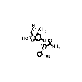 CCc1cc(Nc2nn([C@@H]3CCC[C@H]3C#N)cc2C(N)=O)cc2c1C(CC)B(O)O2